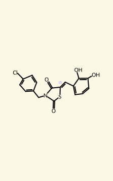 O=C1S/C(=C\c2cccc(O)c2O)C(=O)N1Cc1ccc(Cl)cc1